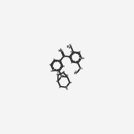 CC(C)Oc1cc(C(=N)c2ccnc(N3C4CCC3COC4)c2)c(N)cn1